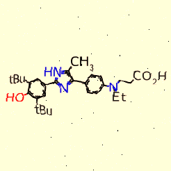 CCN(CCC(=O)O)c1ccc(-c2nc(-c3cc(C(C)(C)C)c(O)c(C(C)(C)C)c3)[nH]c2C)cc1